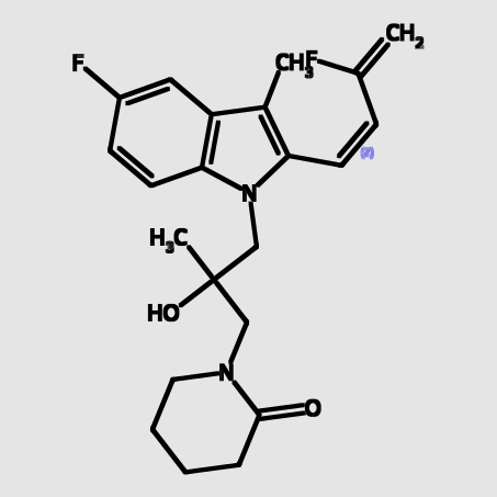 C=C(F)/C=C\c1c(C)c2cc(F)ccc2n1CC(C)(O)CN1CCCCC1=O